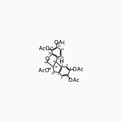 CC(=O)Oc1cc2c(cc1OC(C)=O)[C@@H]1c3ccc(OC(C)=O)c(OC(C)=O)c3OC[C@]1(OC(C)=O)C2